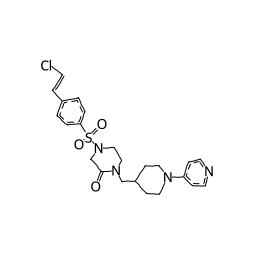 O=C1CN(S(=O)(=O)c2ccc(C=CCl)cc2)CCN1CC1CCN(c2ccncc2)CC1